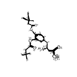 CC(C)(C)CC(=O)Oc1ccc(C[C@H](N)C(=O)O)cc1OC(=O)CC(C)(C)C